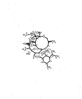 C=C1CO[C@@H]2[C@@H](C)/C(=N/C)[C@H](C)C[C@@](C)(OC1)[C@H](O[C@@H]1O[C@H](C)C[C@H](N(C)C)[C@H]1OC)[C@@H](C)[C@H](O)[C@@H](C)C(=O)O[C@H](CC)[C@@]2(C)O